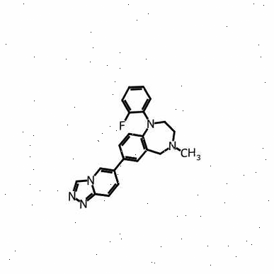 CN1CCN(c2ccccc2F)c2ccc(-c3ccc4nncn4c3)cc2C1